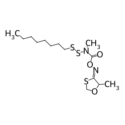 CCCCCCCCSSN(C)C(=O)ON=C1SCOC1C